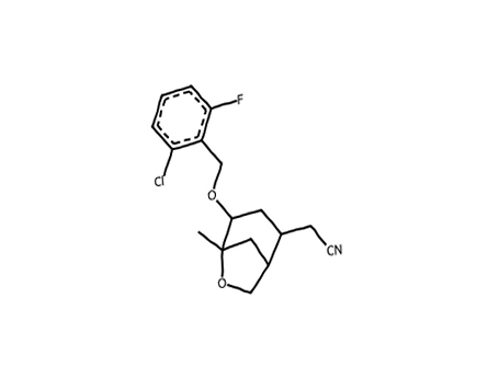 CC12CC(CO1)C(CC#N)CC2OCc1c(F)cccc1Cl